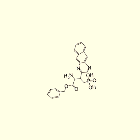 NC(C(=O)OCc1ccccc1)C(CP(=O)(O)O)c1cnc2cc3ccccc3cc2n1